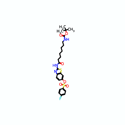 CC(C)(C)OC(=O)NCCCCCCCC(=O)Nc1nc2ccc(OS(=O)(=O)c3ccc(F)cc3)cc2s1